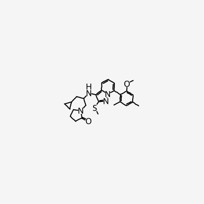 COc1cc(C)cc(C)c1-c1cccc2c(NC(CC3CC3)CN3CCCC3=O)c(SC)nn12